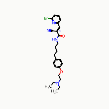 CCN(CC)CCOc1ccc(CCCCNC(=O)/C(C#N)=C/c2cccc(Br)n2)cc1